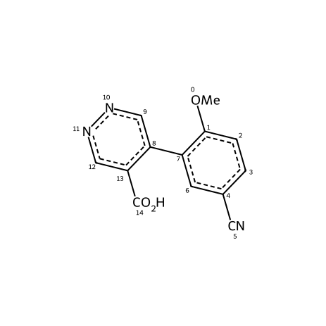 COc1ccc(C#N)cc1-c1cnncc1C(=O)O